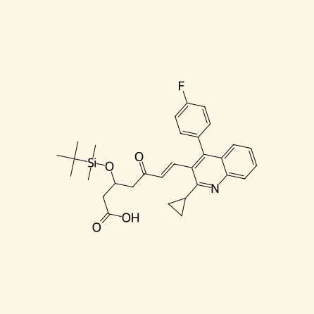 CC(C)(C)[Si](C)(C)OC(CC(=O)O)CC(=O)C=Cc1c(C2CC2)nc2ccccc2c1-c1ccc(F)cc1